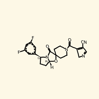 N#CC1=C(C(=O)N2CCC3(CC2)O[C@@H]2CC[C@@H](c4cc(F)cc(F)c4)N2C3=O)CN=C1